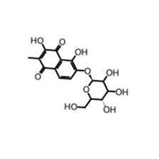 CC1=C(O)C(=O)c2c(ccc(O[C@@H]3OC(CO)[C@@H](O)C(O)C3O)c2O)C1=O